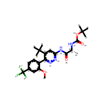 COc1cc(C(F)(F)F)ccc1-c1nnc(NC(=O)[C@@H](C)NC(=O)OC(C)(C)C)cc1C(C)(C)C